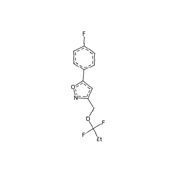 CCC(F)(F)OCc1cc(-c2ccc(F)cc2)on1